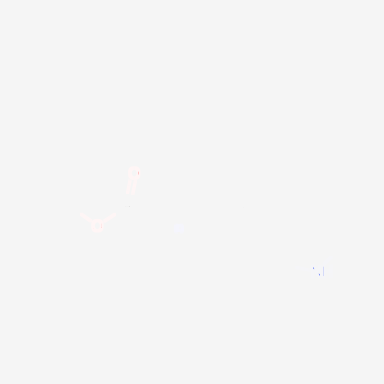 CCOC(=O)/C=C(\c1ccccc1)c1ccc2[nH]cc(C)c2c1